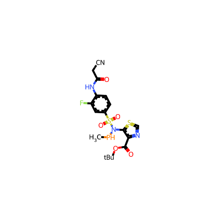 CPN(c1scnc1C(=O)OC(C)(C)C)S(=O)(=O)c1ccc(NC(=O)CC#N)c(F)c1